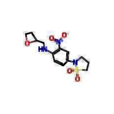 O=[N+]([O-])c1cc(N2CCCS2(=O)=O)ccc1NCC1CCO1